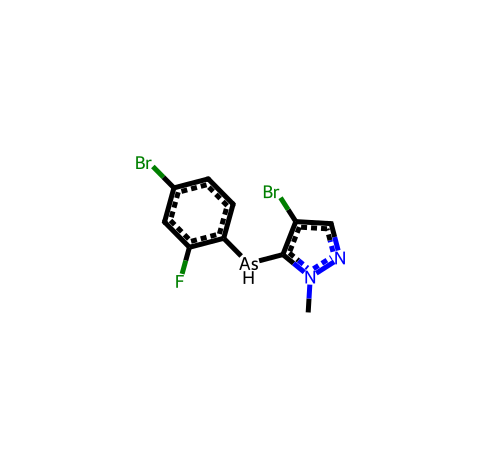 Cn1ncc(Br)c1[AsH]c1ccc(Br)cc1F